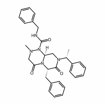 C[C@H](c1ccccc1)N1C[C@H]2N(C(=O)CN(C)N2C(=O)NCc2ccccc2)[C@@H](Cc2ccccc2)C1=O